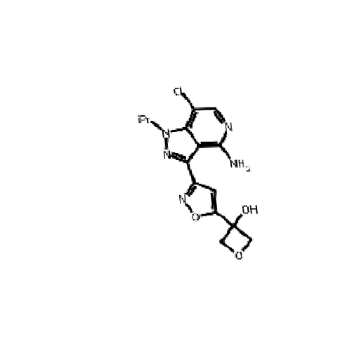 CC(C)n1nc(-c2cc(C3(O)COC3)on2)c2c(N)ncc(Cl)c21